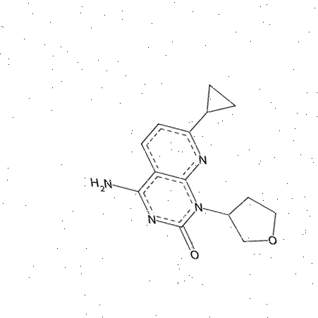 Nc1nc(=O)n(C2CCOC2)c2nc(C3CC3)ccc12